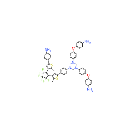 Cc1sc(-c2ccc(N)cc2)cc1C1=C(c2cc(-c3ccc(N4CN(c5ccc(Oc6ccc(N)cc6)cc5)CN(c5ccc(Oc6ccc(N)cc6)cc5)C4)cc3)sc2C)C(F)(F)C(F)(F)C1(F)F